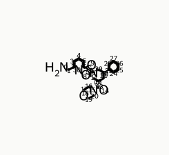 NCc1cccc(S(=O)(=O)N2C[C@@H](C(=O)N3CCOCC3)C[C@H](c3ccccc3)C2)n1